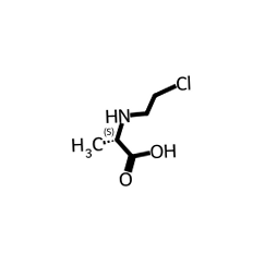 C[C@H](NCCCl)C(=O)O